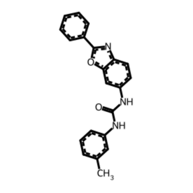 Cc1cccc(NC(=O)Nc2ccc3nc(-c4ccccc4)oc3c2)c1